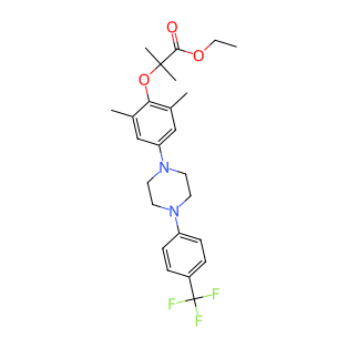 CCOC(=O)C(C)(C)Oc1c(C)cc(N2CCN(c3ccc(C(F)(F)F)cc3)CC2)cc1C